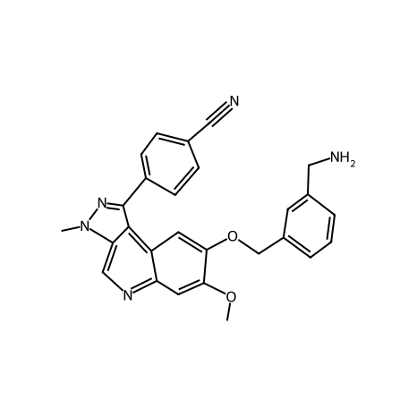 COc1cc2ncc3c(c(-c4ccc(C#N)cc4)nn3C)c2cc1OCc1cccc(CN)c1